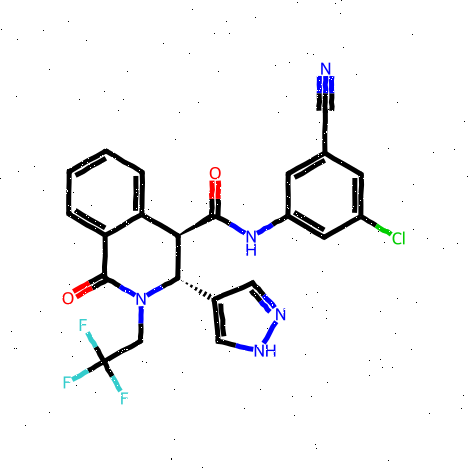 N#Cc1cc(Cl)cc(NC(=O)[C@@H]2c3ccccc3C(=O)N(CC(F)(F)F)[C@H]2c2cn[nH]c2)c1